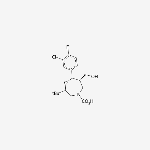 CC(C)(C)C1CN(C(=O)O)C[C@H](CO)[C@@H](c2ccc(F)c(Cl)c2)O1